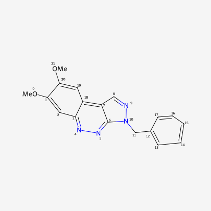 COc1cc2nnc3c(cnn3Cc3ccccc3)c2cc1OC